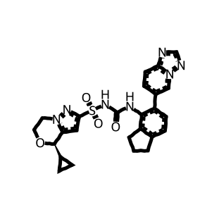 O=C(Nc1c(-c2ccc3ncnn3c2)ccc2c1CCC2)NS(=O)(=O)c1cc2n(n1)CCO[C@@H]2C1CC1